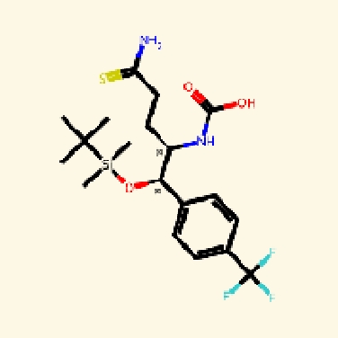 CC(C)(C)[Si](C)(C)O[C@H](c1ccc(C(F)(F)F)cc1)[C@@H](CCC(N)=S)NC(=O)O